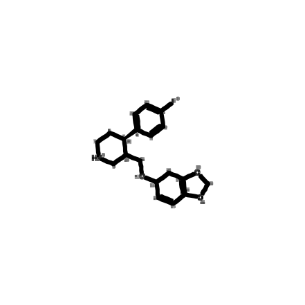 Fc1ccc([C@@H]2CCNCC2COC2C=CC3=C(C2)OCO3)cc1